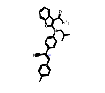 Cc1ccc(/C=C(\C#N)c2ccc(N(CC(C)C)c3oc4ccccc4c3C(N)=O)cc2)cc1